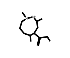 C=C(CC)C1CC(C)NN(C)CCCC1C